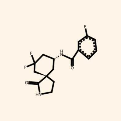 O=C(N[C@H]1CC(F)(F)C[C@]2(CCNC2=O)C1)c1cccc(F)c1